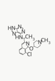 C[C@H](Nc1ncnc2[nH]cnc12)c1cc2cccc(Cl)c2c(OC2CCN(C)CC2)n1